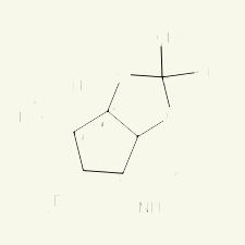 CC1(C)O[C@@H]2[C@@H](O)[C@@H](F)[C@@H](N)[C@@H]2O1